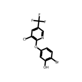 Oc1cc(Oc2ncc(C(F)(F)F)cc2Cl)ccc1Br